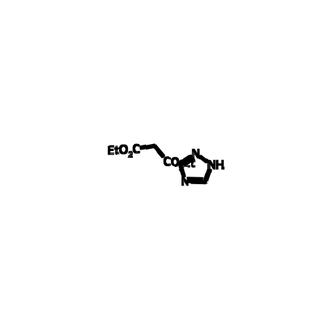 CCOC(=O)CC(=O)OCC.c1nc[nH]n1